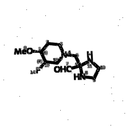 CO[C@H]1CCN(CC2(C=O)NCCN2)C[C@H]1F